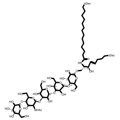 CCCCCCCCCCCCC/C=C/[C@@H](O)[C@H](CO[C@@H]1OC(CO)[C@@H](O[C@@H]2OC(CO)[C@H](O)[C@H](O[C@H]3OC(CO)[C@H](O)[C@H](O[C@@H]4OC(CO)[C@@H](O[C@@H]5OC(CO)[C@H](O)[C@H](O)C5O)[C@H](O)C4NC(C)=O)C3O)C2O)[C@H](O)C1O)NC(=O)CCCCCCCCCCCCCCCCCCCCCCC